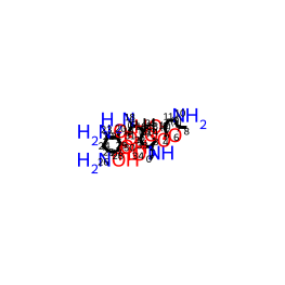 CNC1C(OC2OC(C)[C@@H](N)C[C@@H]2O)O[C@H]2C[C@H](N)C(OC3C(N)CC(N)C(O)C3O)OC2C1O